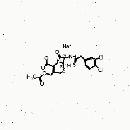 CC(=O)OCC1=C(C(=O)[O-])N2C(=O)[C@@H](NC(=S)Cc3ccc(Cl)c(Cl)c3)[C@H]2SC1.[Na+]